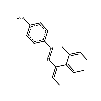 C\C=C(C)/C(=C\C)C(=C\C)/N=N/c1ccc(S(=O)(=O)O)cc1